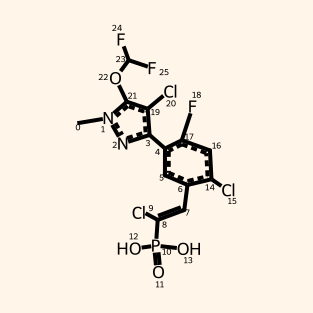 Cn1nc(-c2cc(C=C(Cl)P(=O)(O)O)c(Cl)cc2F)c(Cl)c1OC(F)F